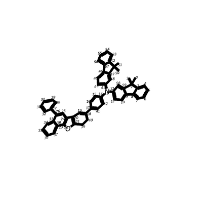 CC1(C)c2ccccc2-c2ccc(N(c3ccc(C4=Cc5c(oc6c5cc(-c5ccccc5)c5ccccc56)CC4)cc3)c3ccc4c(c3)C(C)(C)c3ccccc3-4)cc21